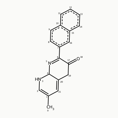 CC1=CNC2N=C(c3ccc4ccccc4c3)C(=O)CC2=C1